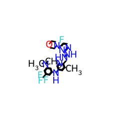 Cc1cc(Nc2cc(N(C)C)cc(C(F)(F)F)c2)cnc1CNNc1ncc(F)c(N2CCOCC2)n1